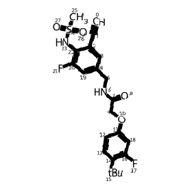 C#Cc1cc(CNC(=O)COc2ccc(C(C)(C)C)c(F)c2)cc(F)c1NS(C)(=O)=O